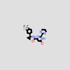 O=C(NC1(c2ccc(C(F)(F)F)c(F)c2)CC1)c1cc(=O)[nH]c(-c2ncccn2)n1